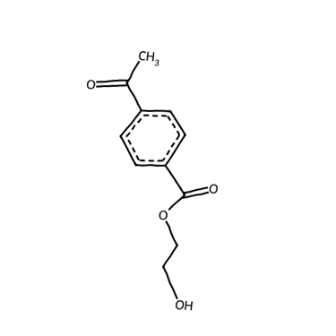 CC(=O)c1ccc(C(=O)OCCO)cc1